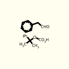 CC(C)C(C)(C)OC(=O)O.O=CCc1ccccc1